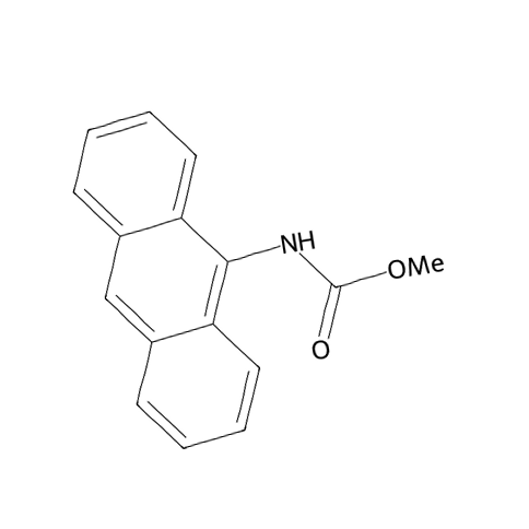 COC(=O)Nc1c2ccccc2cc2ccccc12